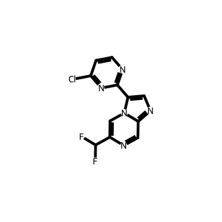 FC(F)c1cn2c(-c3nccc(Cl)n3)cnc2cn1